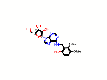 COc1ccc(O)c(CNc2ncnc3c2ncn3[C@@H]2O[C@H](CO)[C@@H](O)[C@H]2O)c1OC